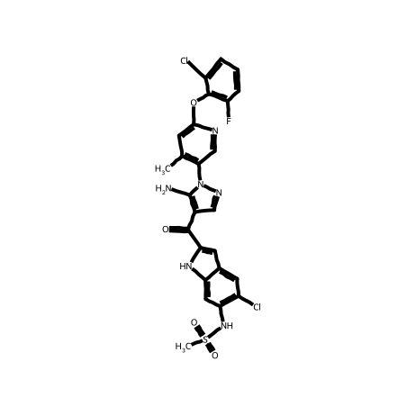 Cc1cc(Oc2c(F)cccc2Cl)ncc1-n1ncc(C(=O)c2cc3cc(Cl)c(NS(C)(=O)=O)cc3[nH]2)c1N